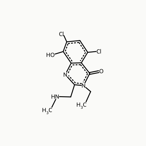 CCn1c(CNC)nc2c(O)c(Cl)cc(Cl)c2c1=O